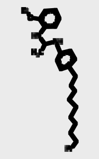 CCOc1ccccc1NC(C)Nc1ccc(CCCCCCCCCC(C)C)cc1